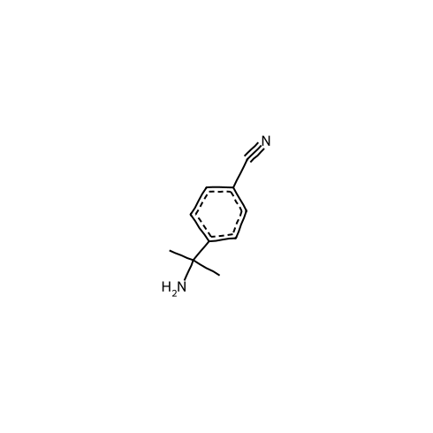 CC(C)(N)c1ccc(C#N)cc1